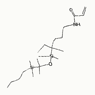 C=CC(=O)NCCCC(C)(CC)[Si](C)(C)OC(C)(C)[Si](C)(C)CCCC